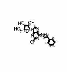 OC[C@H]1O[C@@H](n2cnc3c(NCCc4ccccc4)nc(Cl)nc32)[C@H](O)[C@@H]1O